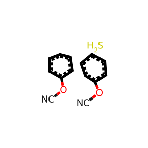 N#COc1ccccc1.N#COc1ccccc1.S